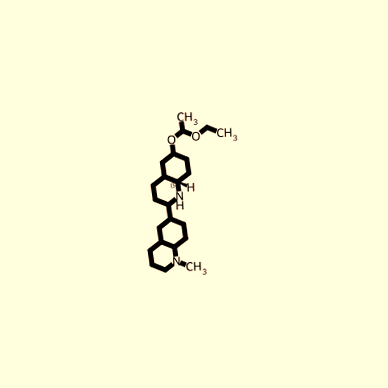 CCOC(C)OC1CC[C@@H]2NC(C3CCC4C(CCCN4C)C3)CCC2C1